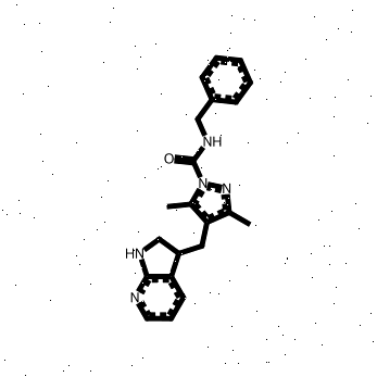 Cc1nn(C(=O)NCc2ccccc2)c(C)c1CC1CNc2ncccc21